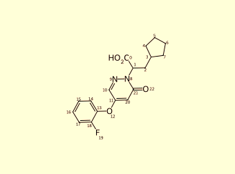 O=C(O)C(CC1CCCC1)n1ncc(Oc2ccccc2F)cc1=O